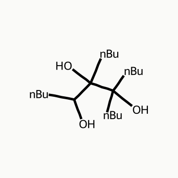 CCCCC(O)C(O)(CCCC)C(O)(CCCC)CCCC